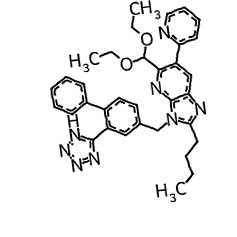 CCCCc1nc2cc(-c3ccccn3)c(C(OCC)OCC)nc2n1Cc1ccc(-c2ccccc2)c(-c2nnn[nH]2)c1